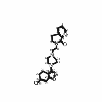 O=C1c2ncccc2CCN1CCN1CCN(c2noc3c2CCC(Cl)=C3)CC1